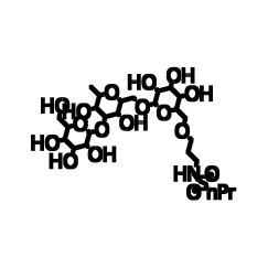 CCCS(=O)(=O)NCCCOCC1OC(OCC2OC(C)C(O)C(OC3OC(CO)C(O)C(O)C3O)C2O)C(O)C(O)C1O